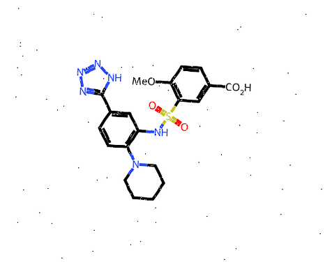 COc1ccc(C(=O)O)cc1S(=O)(=O)Nc1cc(-c2nnn[nH]2)ccc1N1CCCCC1